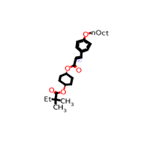 CCCCCCCCOc1ccc(/C=C/C(=O)O[C@H]2CC[C@H](OC(=O)C(C)(C)CC)CC2)cc1